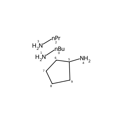 CCCCN.CCCN.NC1CCCC1